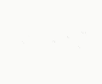 CCCCNc1nc(N)nc(C)c1Cc1ccc(CN(C)C(C)(C)C)cc1